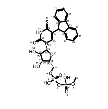 COP(=O)(O)OP(=O)(O)OC[C@H]1O[C@@H](n2cc(C3c4ccccc4-c4ccccc43)c(=S)[nH]c2=O)[C@H](O)[C@@H]1O